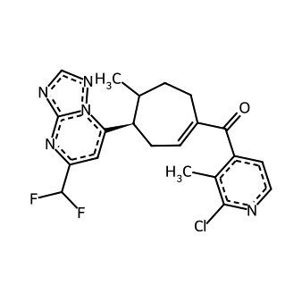 Cc1c(C(=O)C2=CC[C@@H](c3cc(C(F)F)nc4ncnn34)C(C)CC2)ccnc1Cl